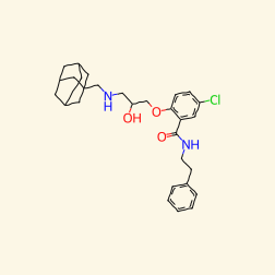 O=C(NCCc1ccccc1)c1cc(Cl)ccc1OCC(O)CNCC12CC3CC(CC(C3)C1)C2